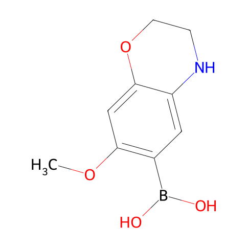 COc1cc2c(cc1B(O)O)NCCO2